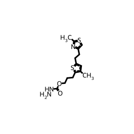 Cc1nc(CCc2cc(C)c(CCCOC(=O)NN)s2)cs1